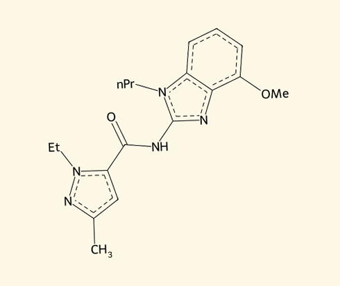 CCCn1c(NC(=O)c2cc(C)nn2CC)nc2c(OC)cccc21